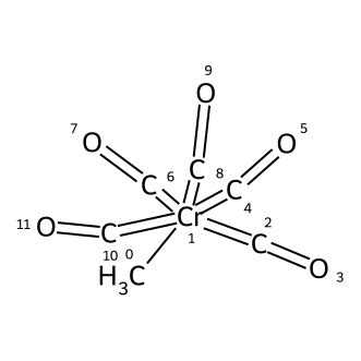 [CH3][Cr](=[C]=O)(=[C]=O)(=[C]=O)(=[C]=O)=[C]=O